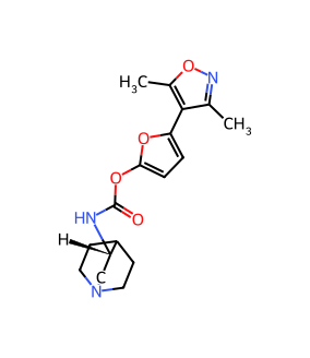 Cc1noc(C)c1-c1ccc(OC(=O)N[C@H]2CN3CCC2CC3)o1